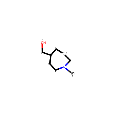 CC(C)N1CCCC(CO)CC1